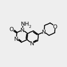 Nn1c(=O)ncc2ncc(N3CCOCC3)cc21